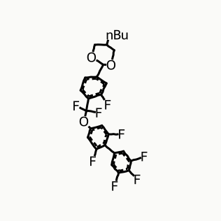 CCCCC1COC(c2ccc(C(F)(F)Oc3cc(F)c(-c4cc(F)c(F)c(F)c4)c(F)c3)c(F)c2)OC1